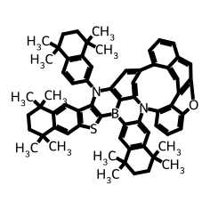 CC1(C)CCC(C)(C)c2cc(N3c4cc5cc6c4B(c4cc7c(cc4-n6c4cccc6oc8cc9cccc5c9cc8c64)C(C)(C)CCC7(C)C)c4sc5cc6c(cc5c43)C(C)(C)CCC6(C)C)ccc21